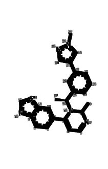 CC1N=CC=C(c2ccc3ncsc3c2)N1[C@@H](C)c1cccc(-c2cnn(C)c2)c1